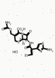 CC/C=C(\C(=O)N[C@@H]1C(=O)N2C(C(=O)O)=C(COC(N)=O)CS[C@H]12)c1csc(N)n1.Cl